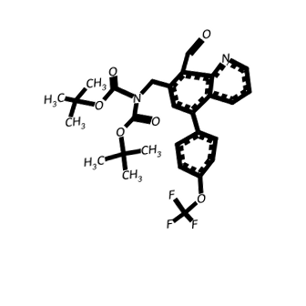 CC(C)(C)OC(=O)N(Cc1cc(-c2ccc(OC(F)(F)F)cc2)c2cccnc2c1C=O)C(=O)OC(C)(C)C